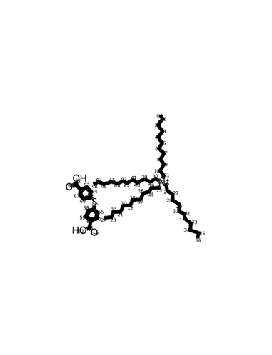 CCCCCCCCCCCC[N+](CCCCCCCCCCCC)(CCCCCCCCCCCC)CCCCCCCCCCCC.O=C(O)c1ccc(Sc2ccc(C(=O)O)cc2)cc1